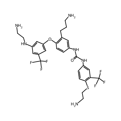 NCCCc1cc(NC(=O)Nc2ccc(SCCN)c(C(F)(F)F)c2)ccc1Oc1cc(NCCN)cc(C(F)(F)F)c1